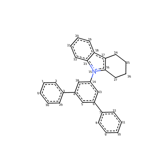 c1ccc(-c2cc(-c3ccccc3)cc(-n3c4c(c5ccccc53)CCCC4)c2)cc1